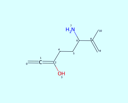 C=C=C(O)CCC(N)C(=C)C